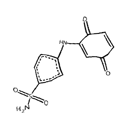 NS(=O)(=O)c1ccc(NC2=CC(=O)C=CC2=O)cc1